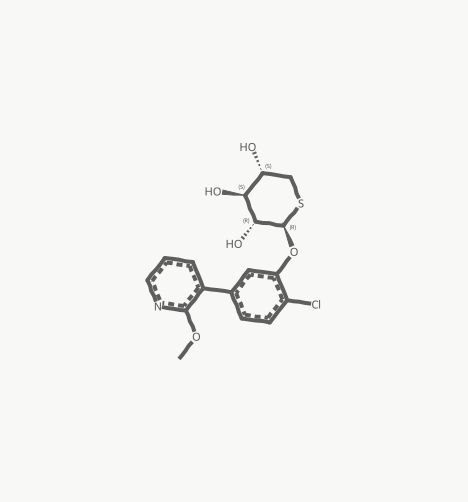 COc1ncccc1-c1ccc(Cl)c(O[C@@H]2SC[C@@H](O)[C@H](O)[C@H]2O)c1